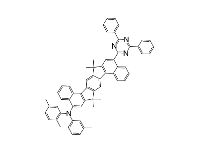 Cc1cccc(N(c2cc(C)ccc2C)c2cc3c(c4ccccc24)-c2cc4c(cc2C3(C)C)-c2c(cc(-c3nc(-c5ccccc5)nc(-c5ccccc5)n3)c3ccccc23)C4(C)C)c1